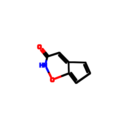 O=c1cc2cccc-2o[nH]1